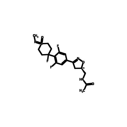 CN=S1(=O)CCC(F)(c2c(F)cc(C3=NO[C@@H](CNC(C)=O)C3)cc2F)CC1